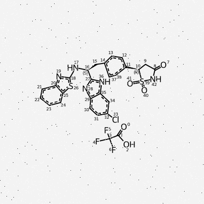 O=C(O)C(F)(F)F.O=C1C[C@H](c2ccc(C[C@H](Nc3nc4ccccc4s3)c3nc4ccc(Cl)cc4[nH]3)cc2)S(=O)(=O)N1